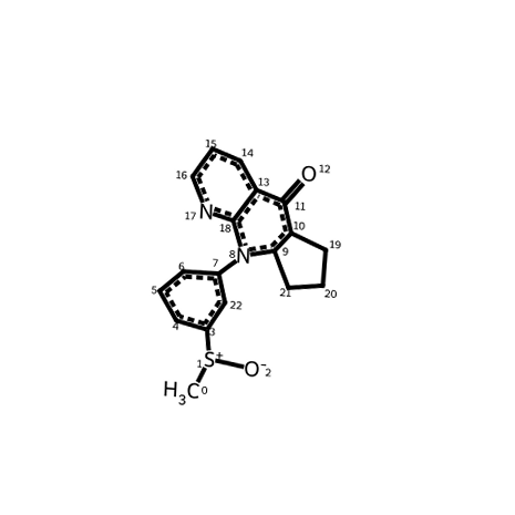 C[S+]([O-])c1cccc(-n2c3c(c(=O)c4cccnc42)CCC3)c1